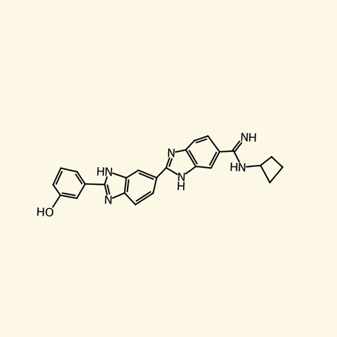 N=C(NC1CCC1)c1ccc2nc(-c3ccc4nc(-c5cccc(O)c5)[nH]c4c3)[nH]c2c1